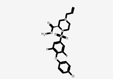 C=CCN1CCN(S(=O)(=O)c2cc(F)c(Oc3ccc(Cl)cc3)c(F)c2)[C@@H](C(=O)ON)C1